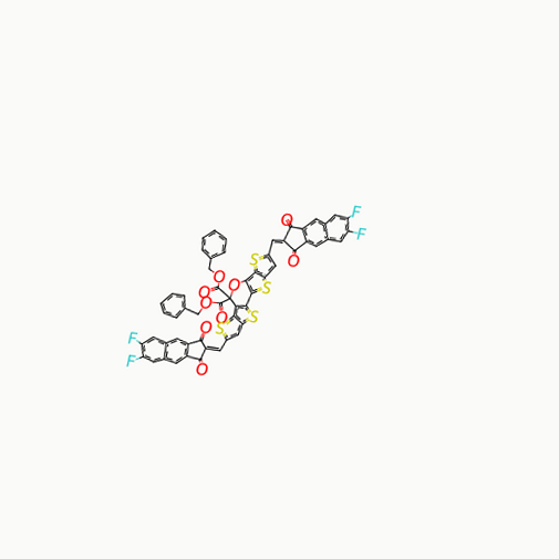 O=C1C(=Cc2cc3sc4c(c3s2)OC(C(=O)OCc2ccccc2)(C(=O)OCc2ccccc2)c2c-4sc3cc(C=C4C(=O)c5cc6cc(F)c(F)cc6cc5C4=O)sc23)C(=O)c2cc3cc(F)c(F)cc3cc21